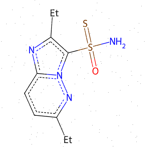 CCc1ccc2nc(CC)c(S(N)(=O)=S)n2n1